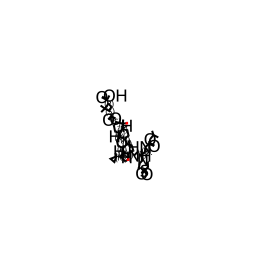 CC(C)OC(=O)N[C@H](C)[C@@H](CN[C@]12CC[C@@H](C3(C)CC3)[C@@H]1[C@H]1CC[C@@H]3[C@@]4(C)CC[C@H](OC(=O)[C@H]5C[C@@H](C(=O)O)C5(C)C)C(C)(C)[C@@H]4CC[C@@]3(C)[C@]1(C)CC2)N1CCS(=O)(=O)CC1